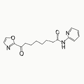 O=C(CCCCCCC(=O)c1ncco1)Nc1ccccn1